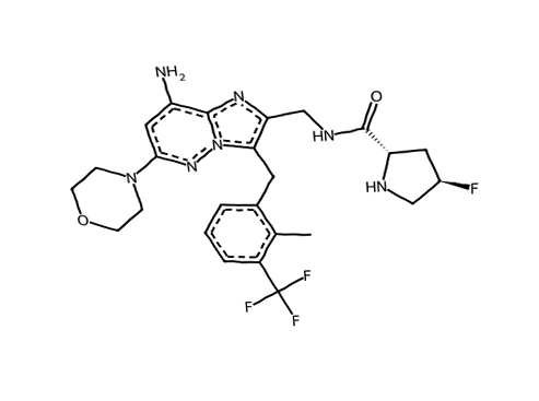 Cc1c(Cc2c(CNC(=O)[C@@H]3C[C@@H](F)CN3)nc3c(N)cc(N4CCOCC4)nn23)cccc1C(F)(F)F